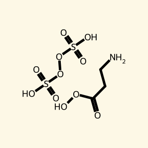 NCCC(=O)OO.O=S(=O)(O)OOS(=O)(=O)O